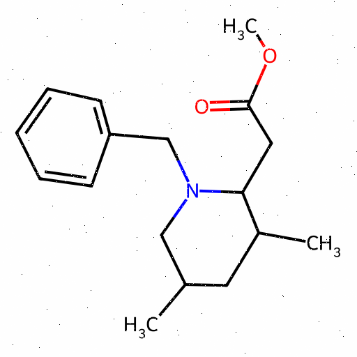 COC(=O)CC1C(C)CC(C)CN1Cc1ccccc1